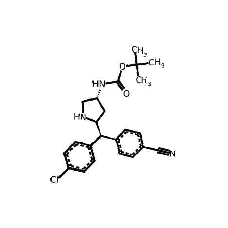 CC(C)(C)OC(=O)N[C@H]1CNC([C@H](c2ccc(Cl)cc2)c2ccc(C#N)cc2)C1